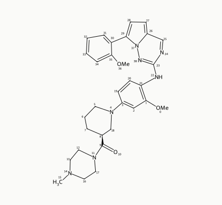 COc1cc(N2CCC[C@H](C(=O)N3CCN(C)CC3)C2)ccc1Nc1ncc2ccc(-c3ccccc3OC)n2n1